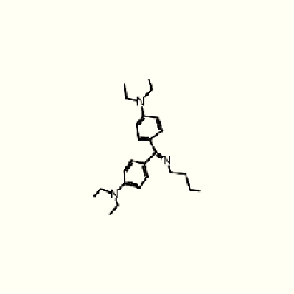 CCCCN=C(c1ccc(N(CC)CC)cc1)c1ccc(N(CC)CC)cc1